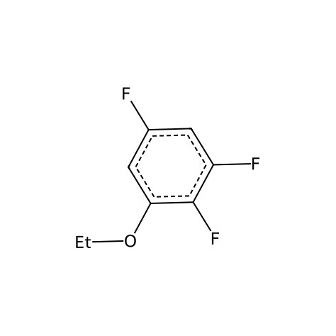 CCOc1cc(F)cc(F)c1F